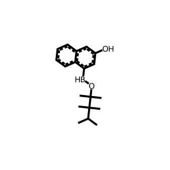 CC(C)C(C)(C)C(C)(C)OBc1cc(O)cc2ccccc12